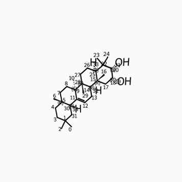 CC1(C)CC[C@]2(C)CC[C@]3(C)C(=CC[C@@H]4[C@@]5(C)C[C@@H](O)[C@@H](O)C(C)(C)[C@@H]5CC[C@]43C)[C@@H]2C1